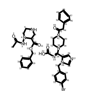 CC(=O)NN1CCNCC1C(=O)OCc1ccccc1.O=C(O)N=C(c1cncn1Cc1ccc(Br)cc1)N1CCN(C(=O)Cc2ccccc2)CC1